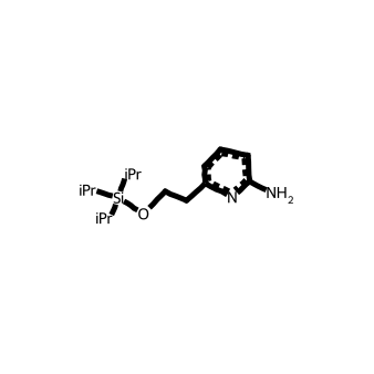 CC(C)[Si](OCCc1cccc(N)n1)(C(C)C)C(C)C